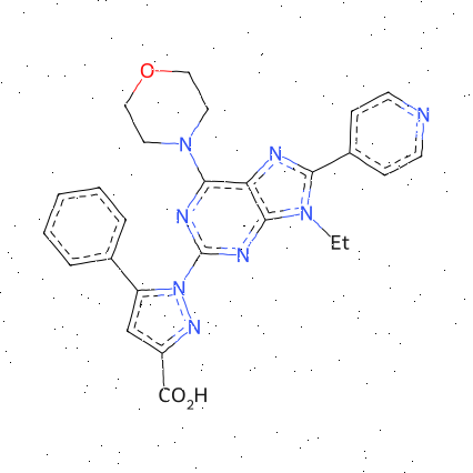 CCn1c(-c2ccncc2)nc2c(N3CCOCC3)nc(-n3nc(C(=O)O)cc3-c3ccccc3)nc21